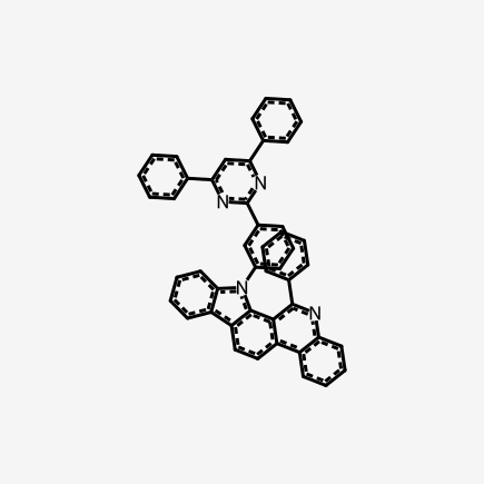 c1ccc(-c2cc(-c3ccccc3)nc(-c3cccc(-n4c5ccccc5c5ccc6c7ccccc7nc(-c7ccccc7)c6c54)c3)n2)cc1